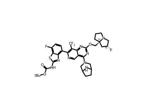 CC(C)(C)OC(=O)Nc1nc2c(-c3ncc4c(N5CC6CCC(C5)N6)nc(OC[C@@]56CCCN5C[C@H](F)C6)nc4c3C(F)(F)F)ccc(F)c2s1